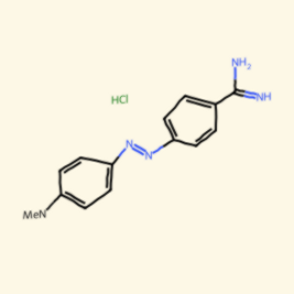 CNc1ccc(N=Nc2ccc(C(=N)N)cc2)cc1.Cl